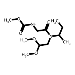 CCC(C)N(CC(OC)OC)C(=O)CNC(=O)OC